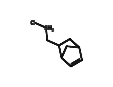 Cl[SiH2]CC1CC2C=CC1C2